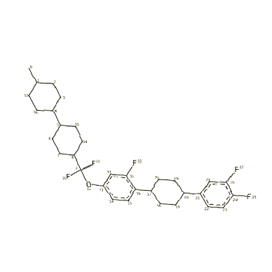 CC1CCC(C2CCC(C(F)(F)Oc3ccc(C4CCC(c5ccc(F)c(F)c5)CC4)c(F)c3)CC2)CC1